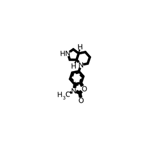 Cn1c(=O)oc2cc(N3CCC[C@H]4CNC[C@H]43)ccc21